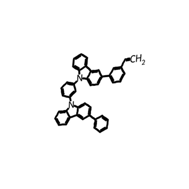 C=Cc1cccc(-c2ccc3c(c2)c2ccccc2n3-c2cccc(-n3c4ccccc4c4cc(-c5ccccc5)ccc43)c2)c1